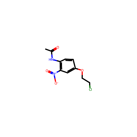 CC(=O)Nc1ccc(OCCCl)cc1[N+](=O)[O-]